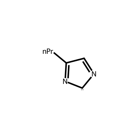 CCCC1=N[C]N=C1